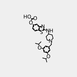 CC(C)Oc1cc(CN2CCC(Nc3nc4cc(OC(=O)O)ccc4s3)CC2)cc(OC(C)C)c1